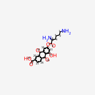 NCCCC[C@H](N)C(=O)Oc1cc(O)c2c(c1)C(=O)c1cc(C(=O)O)ccc1C2=O